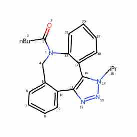 CCCCC(=O)N1Cc2ccccc2-c2nnn(C(C)C)c2-c2ccccc21